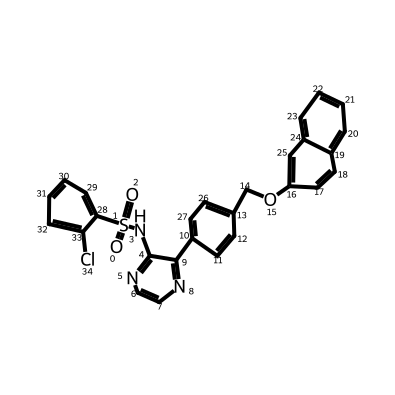 O=S(=O)(Nc1nccnc1-c1ccc(COc2ccc3ccccc3c2)cc1)c1ccccc1Cl